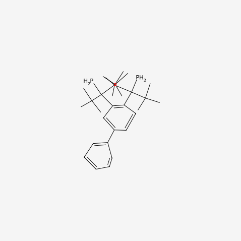 CC(C)(C)C(P)(c1ccc(-c2ccccc2)cc1C(P)(C(C)(C)C)C(C)(C)C)C(C)(C)C